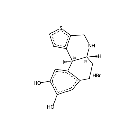 Br.Oc1cc2c(cc1O)[C@H]1c3ccsc3CN[C@@H]1CC2